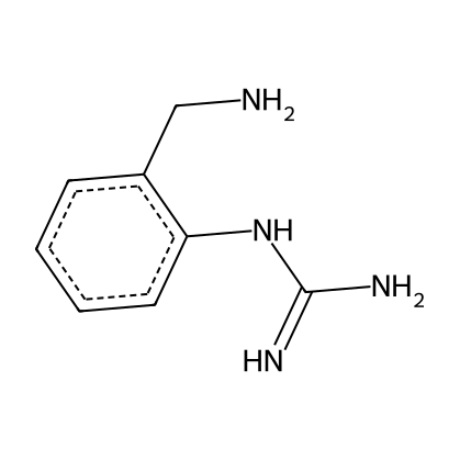 N=C(N)Nc1ccccc1CN